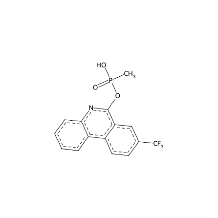 CP(=O)(O)Oc1nc2ccccc2c2ccc(C(F)(F)F)cc12